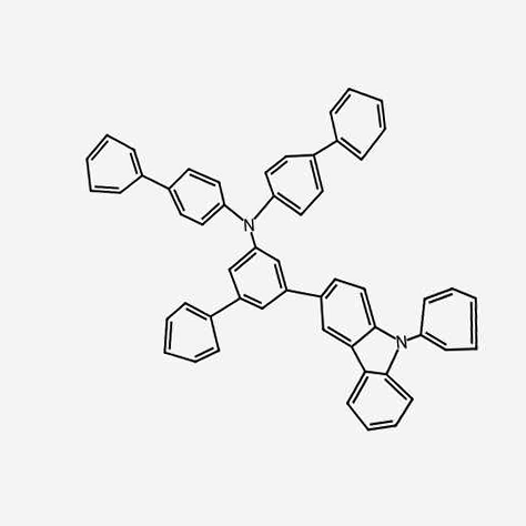 c1ccc(-c2ccc(N(c3ccc(-c4ccccc4)cc3)c3cc(-c4ccccc4)cc(-c4ccc5c(c4)c4ccccc4n5-c4ccccc4)c3)cc2)cc1